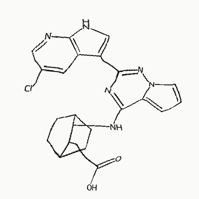 O=C(O)C1C2CCC(CC2)C1Nc1nc(-c2c[nH]c3ncc(Cl)cc23)nn2cccc12